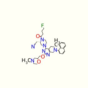 Cc1cccc2cccc(N3CCc4c(nc(OCC5CN(C)CCO5)nc4N4CCN(C(=O)CCCF)[C@@H](CC#N)C4)C3)c12